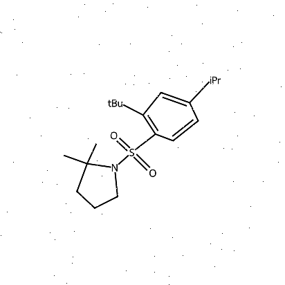 CC(C)c1ccc(S(=O)(=O)N2CCCC2(C)C)c(C(C)(C)C)c1